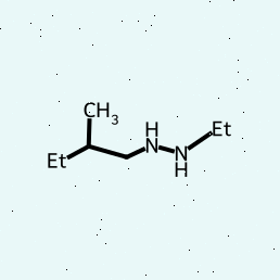 CCNNCC(C)CC